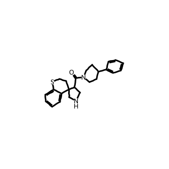 O=C(C1CNCC12CCSc1ccccc12)N1CCC(c2ccccc2)CC1